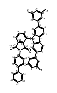 Cc1cc(C)cc(-c2ccc3c4ccc(-c5cc(C)cc(C)c5)cc4n(-c4cccc5c4C(=O)N(c4ccc(-c6ccccc6)cc4)C5=O)c3c2)c1